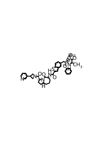 CC[C@@H](C)OC(=O)[C@H](C)NP(=O)(Cc1ccc2sc(C(=O)N[C@H]3CCC[C@H]4CC[C@@H](C(=O)N5CC(c6cccnc6)C5)N4C3=O)cc2c1)Oc1ccccc1